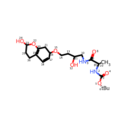 C[C@@H](NC(=O)OC(C)(C)C)C(=O)NCC(O)CCOC1C=CC2=C(C1)OC(O)CC2